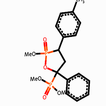 COP1(=O)OC(c2ccccc2)(P(=O)(OC)OC)CC1c1ccc(C)cc1